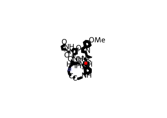 COc1ccc2c(O[C@@H]3C[C@@H](C(=O)N[C@]45C[C@H]4/C=C\CCCCCNc4ccccc4S(=O)(=O)NC5=O)N(C(=O)[C@@H]4CCC(=O)N4)C3)cc(-c3csc(NC(C)C)n3)nc2c1